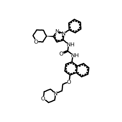 O=C(Nc1ccc(OCCN2CCOCC2)c2ccccc12)Nc1cc([C@@H]2CCCOC2)nn1-c1ccccc1